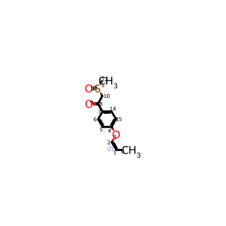 C/C=C\Oc1ccc(C(=O)C[S+](C)[O-])cc1